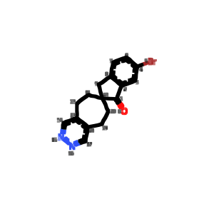 O=C1c2cc(Br)ccc2CC12CCc1cnncc1CC2